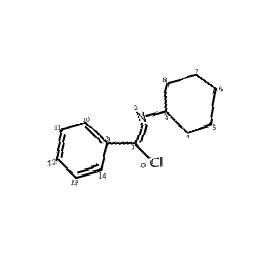 Cl/C(=N\C1CCCCC1)c1ccccc1